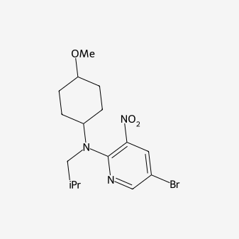 COC1CCC(N(CC(C)C)c2ncc(Br)cc2[N+](=O)[O-])CC1